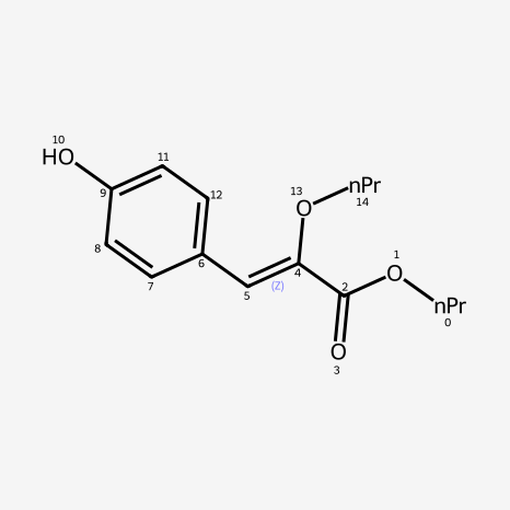 CCCOC(=O)/C(=C/c1ccc(O)cc1)OCCC